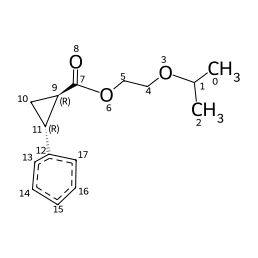 CC(C)OCCOC(=O)[C@@H]1C[C@H]1c1ccccc1